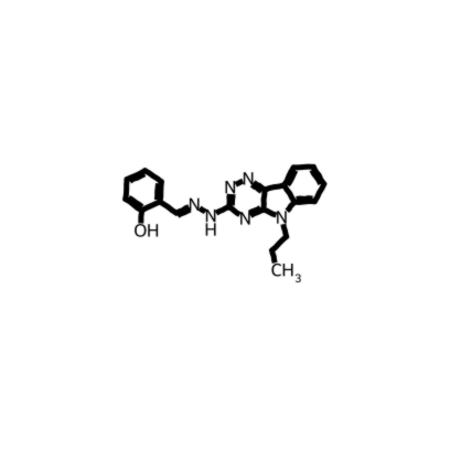 CCCn1c2ccccc2c2nnc(NN=Cc3ccccc3O)nc21